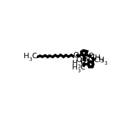 CCCCCCCCCCCCCCCCOC(=O)c1cccc2c1C(=O)N(c1c(C(C)C)cccc1C(C)C)C2=O